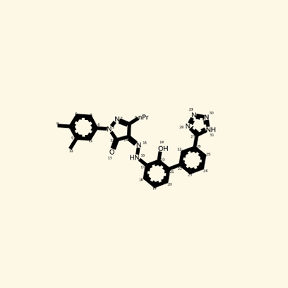 CCCC1=NN(c2ccc(C)c(C)c2)C(=O)C1=NNc1cccc(-c2cccc(-c3nnn[nH]3)c2)c1O